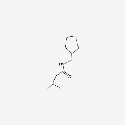 CC(C)CC(=O)NCC1CCCC1